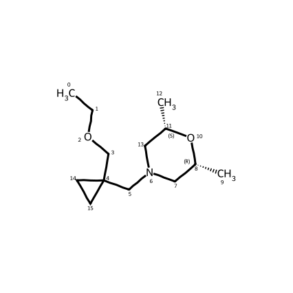 CCOCC1(CN2C[C@@H](C)O[C@@H](C)C2)CC1